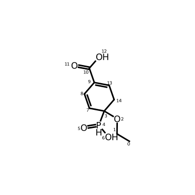 CCOC1([PH](=O)O)C=CC(C(=O)O)=CC1